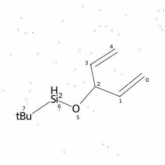 C=CC(C=C)O[SiH2]C(C)(C)C